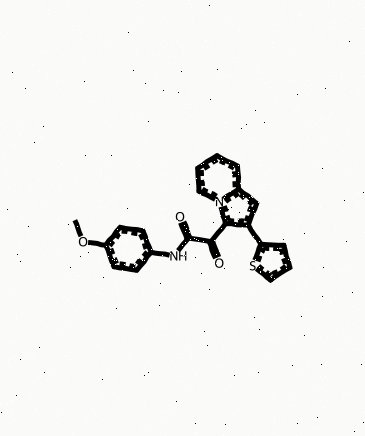 COc1ccc(NC(=O)C(=O)c2c(-c3cccs3)cc3ccccn23)cc1